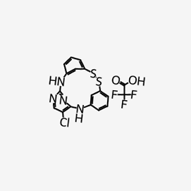 Clc1cnc2nc1Nc1cccc(c1)SSc1cccc(c1)N2.O=C(O)C(F)(F)F